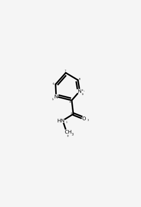 CNC(=O)C1=NC=CC=[N+]1